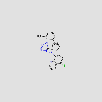 Cc1cccc(C)c1-n1nnnc1C1(Nc2ccc(Cl)c3cccnc23)CCCC1